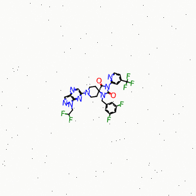 O=C1N(c2cc(C(F)(F)F)ccn2)C(=O)C2(CCN(c3cnc4cnn(CC(F)F)c4n3)CC2)N1Cc1cc(F)cc(F)c1